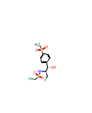 CS(=O)(=O)c1ccc([C@H](O)[C@@H](CF)NS(=O)(=O)CCl)cc1